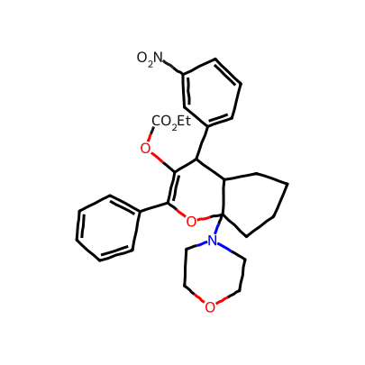 CCOC(=O)OC1=C(c2ccccc2)OC2(N3CCOCC3)CCCCC2C1c1cccc([N+](=O)[O-])c1